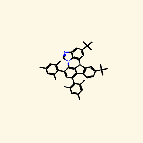 Cc1cc(C)c(-c2cc(-c3c(C)cc(C)cc3C)c3c4c2-c2ccc(C(C)(C)C)cc2B4c2cc(C(C)(C)C)cc4ncn-3c24)c(C)c1